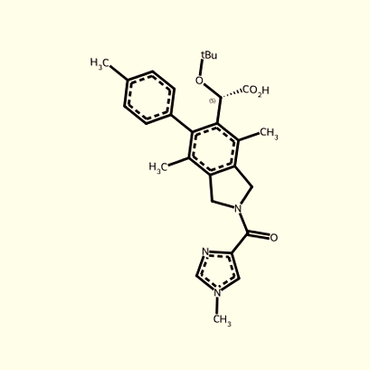 Cc1ccc(-c2c(C)c3c(c(C)c2[C@H](OC(C)(C)C)C(=O)O)CN(C(=O)c2cn(C)cn2)C3)cc1